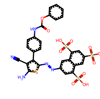 N#Cc1c(N)sc(N=Nc2cc(S(=O)(=O)O)c3cc(S(=O)(=O)O)cc(S(=O)(=O)O)c3c2)c1-c1ccc(NC(=O)Oc2ccccc2)cc1